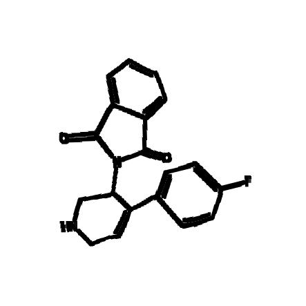 O=C1c2ccccc2C(=O)N1C1CNCC=C1c1ccc(F)cc1